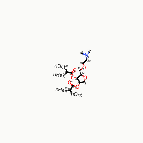 CCCCCCCCC(CCCCCC)C(=O)O[C@@H]1[C@@H](OC(=O)C(CCCCCC)CCCCCCCC)CO[C@@H]1COCCN(C)C